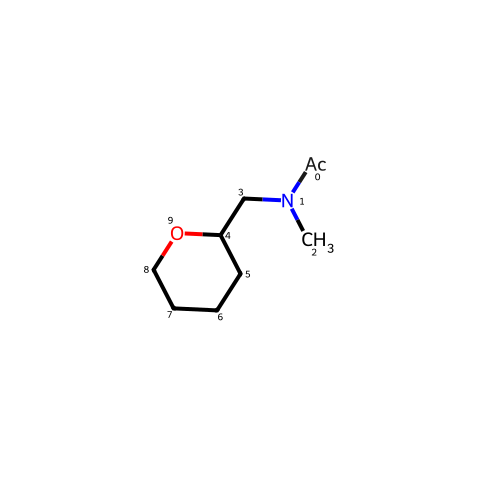 CC(=O)N(C)CC1CCCCO1